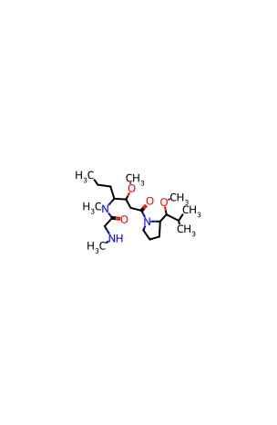 CCCC(C(CC(=O)N1CCCC1C(OC)C(C)C)OC)N(C)C(=O)CNC